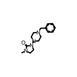 CN1CCN(N2CCN(Cc3ccccc3)CC2)C1=O